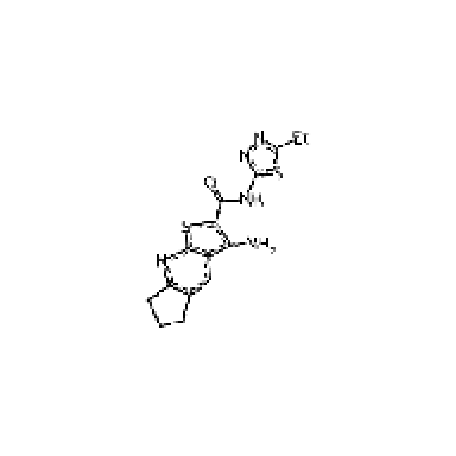 CCc1nnc(NC(=O)c2sc3nc4c(cc3c2N)CCC4)s1